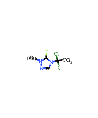 CCCCN1N=CN(C(Cl)(Cl)C(Cl)(Cl)Cl)C1F